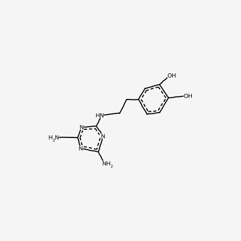 Nc1nc(N)nc(NCCc2ccc(O)c(O)c2)n1